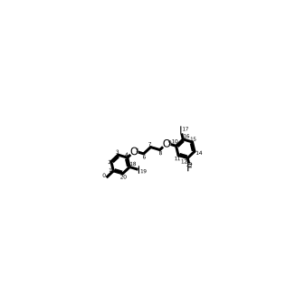 Cc1ccc(OCCCOc2cc(F)ccc2I)c(I)c1